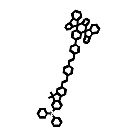 CC1(C)c2cc(/C=C/c3ccc(/C=C/c4ccc(-c5ccc6c(c5)C5(c7ccccc7-c7ccccc75)c5ccccc5C65C6=C(CCC=C6)c6ccccc65)cc4)cc3)ccc2-c2ccc(N(c3ccccc3)c3ccccc3)cc21